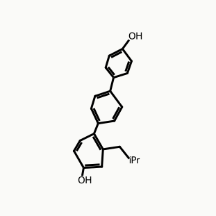 CC(C)Cc1cc(O)ccc1-c1ccc(-c2ccc(O)cc2)cc1